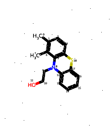 Cc1ccc2c(c1C)N(CCO)c1ccccc1S2